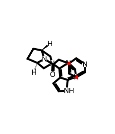 O=C(Cc1cccnc1)N1[C@@H]2CC[C@@H]1CN(c1ncnc3[nH]ccc13)C2